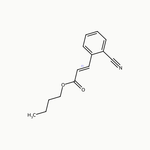 CCCCOC(=O)/C=C/c1ccccc1C#N